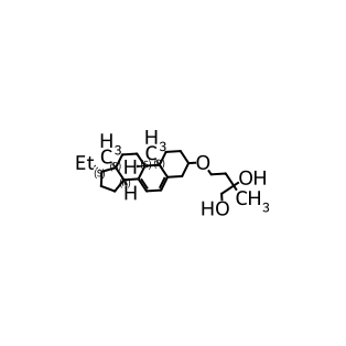 CC[C@H]1CC[C@H]2C3=CC=C4CC(OCCC(C)(O)CO)CC[C@]4(C)[C@H]3CC[C@]12C